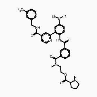 CCN(CC)c1ccc(NC(=O)c2cccc(C(=O)N(C)CCOC(=O)C3CCCN3)c2)c(-c2cc(C(=O)NCc3cccc(C(F)(F)F)c3)ccn2)c1